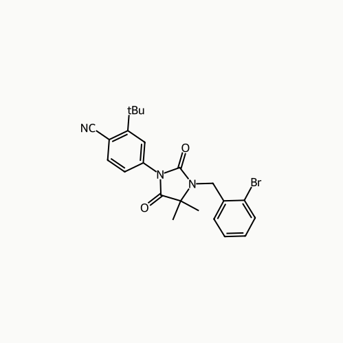 CC(C)(C)c1cc(N2C(=O)N(Cc3ccccc3Br)C(C)(C)C2=O)ccc1C#N